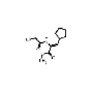 COC(=O)C(=CC1CCCC1)NC(=O)CCl